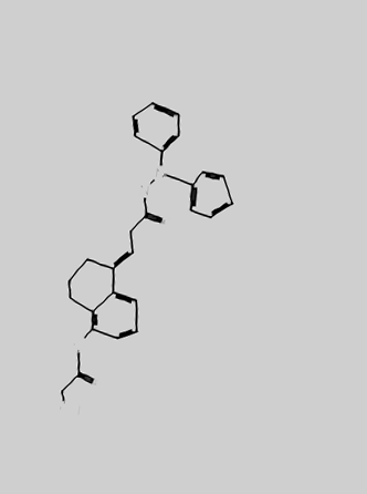 O=C(CC=C1CCCc2c(OC(=O)CO)cccc21)NN(c1ccccc1)c1ccccc1